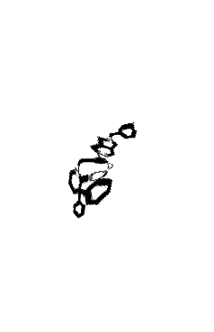 O=C(CN1CCCC(c2ccccc2)(c2ccccc2)C1=O)N1CC2CN(Cc3ccccc3)CC2C1